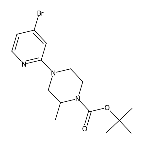 CC1CN(c2cc(Br)ccn2)CCN1C(=O)OC(C)(C)C